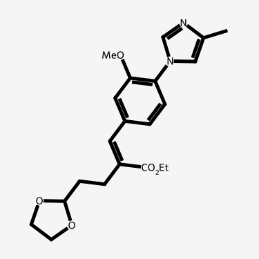 CCOC(=O)/C(=C\c1ccc(-n2cnc(C)c2)c(OC)c1)CCC1OCCO1